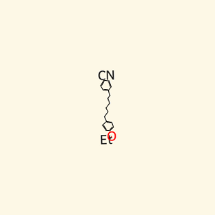 CCOc1ccc(CCCCCCc2ccc(C#N)cc2)cc1